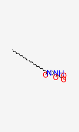 CCC=CCC=CCC=CCC=CCC=CCC=CCCC(=O)N1CCC(NC(=O)C=CC(=O)OC)CC1